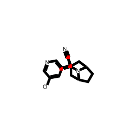 CC(=O)N1C2CCC1CC(C#N)(c1cncc(Cl)c1)C2